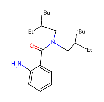 CCCCC(CC)CN(CC(CC)CCCC)C(=O)c1ccccc1N